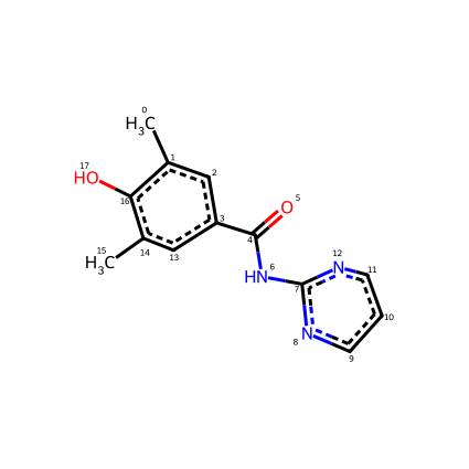 Cc1cc(C(=O)Nc2ncccn2)cc(C)c1O